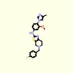 COc1cc(Nc2nc3c(s2)CN(Cc2ccc(F)cc2)CC3)ccc1-n1cnc(C)c1